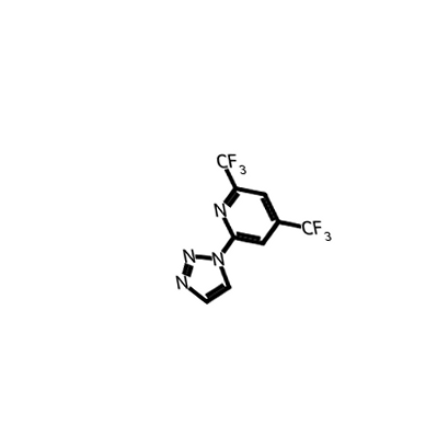 FC(F)(F)c1cc(-n2ccnn2)nc(C(F)(F)F)c1